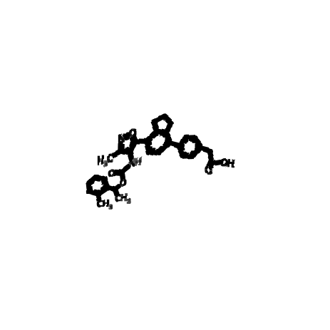 Cc1ccccc1C(C)OC(=O)Nc1c(C)noc1-c1ccc(-c2ccc(CC(=O)O)cc2)c2c1CCC2